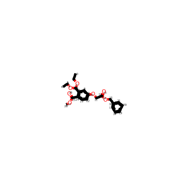 CCOC(OCC)c1cc(OCC(=O)OCc2ccccc2)ccc1C(=O)OC